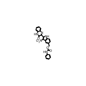 O=C(Nc1ccccc1)OCc1ccc2[nH]c(-c3nc4ccccc4[nH]c3=O)c([N+](=O)[O-])c2c1